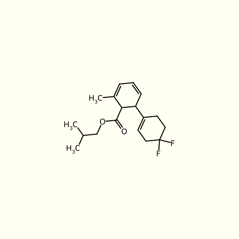 CC1=CC=CC(C2=CCC(F)(F)CC2)C1C(=O)OCC(C)C